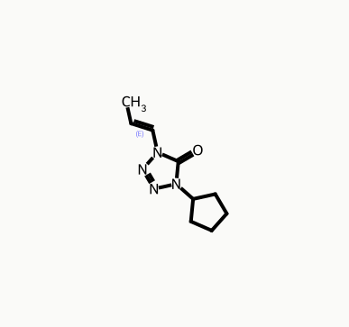 C/C=C/n1nnn(C2CCCC2)c1=O